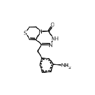 Nc1cccc(CC2=NNC(=O)N3CCSC=C23)c1